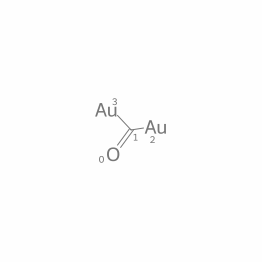 O=[C]([Au])[Au]